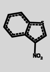 O=[N+]([O-])c1csc2ccccc12